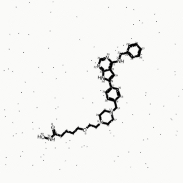 O=C(CCCCOCCN1CCN(Cc2ccc(-c3cc4c(NCc5ccccc5)ncnc4[nH]3)cc2)CC1)NO